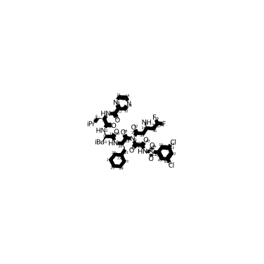 CC[C@H](C)[C@H](NC(=O)[C@H](CC(C)C)NC(=O)c1cnccn1)C(=O)N[C@@H](CC1CCCCC1)C(=O)N(C(=O)C[C@H](N)CC(F)F)C(=O)C(=O)NS(=O)(=O)c1cc(Cl)cc(Cl)c1